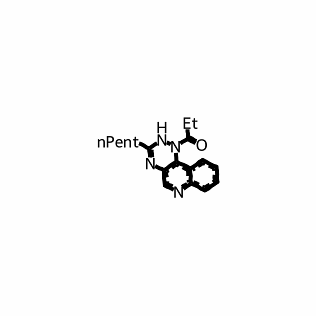 CCCCCC1=Nc2cnc3ccccc3c2N(C(=O)CC)N1